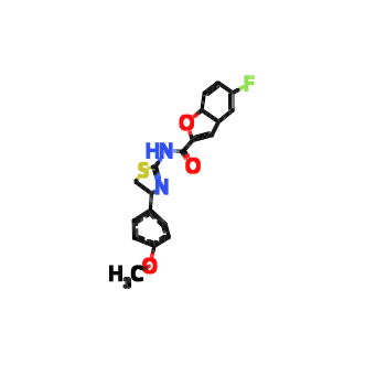 COc1ccc(C2CSC(NC(=O)C3=CC4C=C(F)C=CC4O3)=N2)cc1